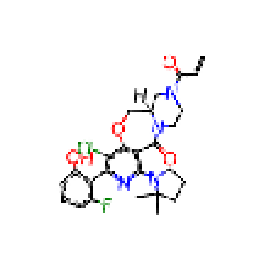 C=CC(=O)N1CCN2C(=O)c3c(N4CCCC4(C)C)nc(-c4c(O)cccc4F)c(Cl)c3OC[C@H]2C1